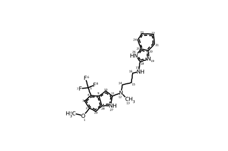 COc1cc(C(F)(F)F)c2cc(N(C)CCCNc3nc4ccccc4[nH]3)[nH]c2c1